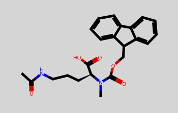 CC(=O)NCCC[C@@H](C(=O)O)N(C)C(=O)OCC1c2ccccc2-c2ccccc21